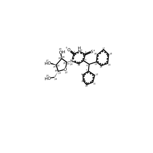 O=c1[nH]c(=S)c(C(c2ccccc2)c2ccccc2)cn1[C@@H]1O[C@H](CO)[C@@H](O)[C@H]1O